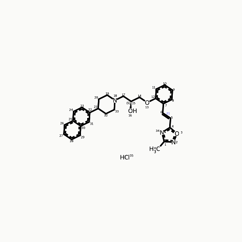 Cc1noc(/C=C/c2ccccc2OC[C@@H](O)CN2CCC(c3ccc4ccccc4c3)CC2)n1.Cl